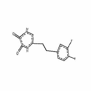 O=c1[nH]cc(CCc2ccc(F)c(F)c2)[nH]c1=O